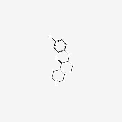 CCC(Oc1ccc(Br)cc1)C(=O)N1CCNCC1